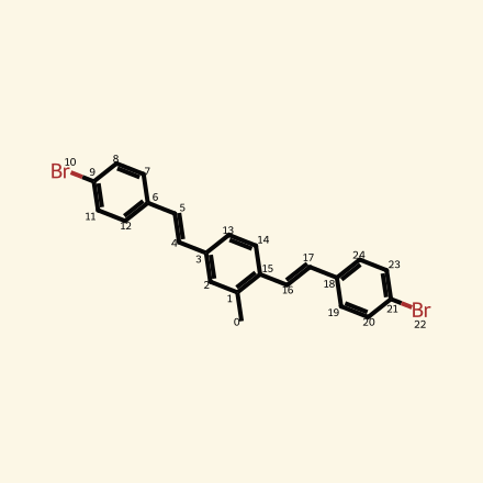 Cc1cc(/C=C/c2ccc(Br)cc2)ccc1/C=C/c1ccc(Br)cc1